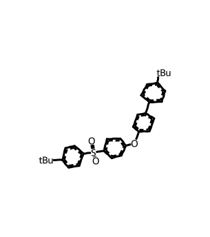 CC(C)(C)c1ccc(-c2ccc(Oc3ccc(S(=O)(=O)c4ccc(C(C)(C)C)cc4)cc3)cc2)cc1